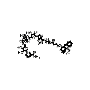 CC[n+]1c2ccccc2cc2c(OCCCC(=O)NCCNc3ncnc4c3ncn4C3OC(COP(=O)(O)OP(=O)(O)OCC4OC([n+]5cccc(C(N)=O)c5)C(O)C4O)C(O)C3O)cccc21